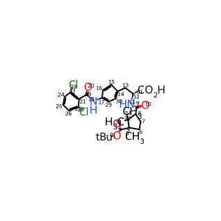 CC(C)(C)OC(=O)[C@]1(C)CC[C@H](C(=O)N[C@@H](Cc2ccc(NC(=O)c3c(Cl)cccc3Cl)cc2)C(=O)O)C1(C)C